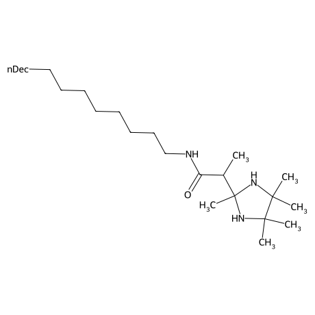 CCCCCCCCCCCCCCCCCCNC(=O)C(C)C1(C)NC(C)(C)C(C)(C)N1